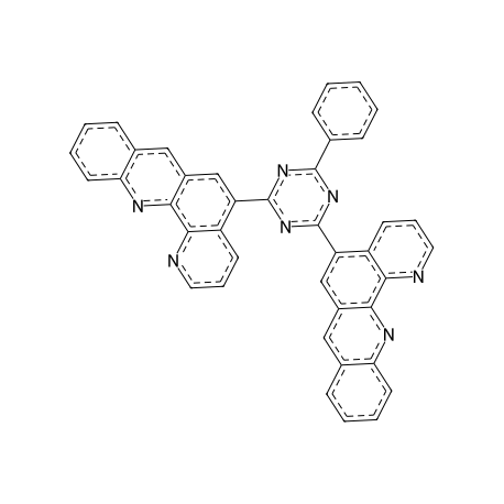 c1ccc(-c2nc(-c3cc4cc5ccccc5nc4c4ncccc34)nc(-c3cc4cc5ccccc5nc4c4ncccc34)n2)cc1